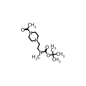 CC(=O)N1CCN(CCN(C)C(=O)OC(C)(C)C)CC1